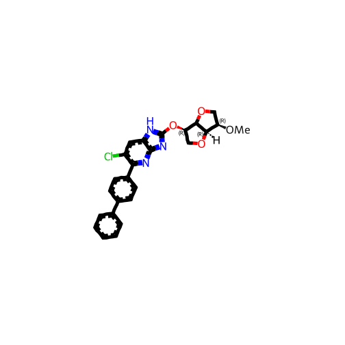 CO[C@@H]1COC2[C@H](Oc3nc4nc(-c5ccc(-c6ccccc6)cc5)c(Cl)cc4[nH]3)CO[C@@H]21